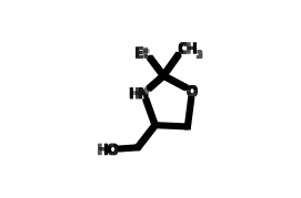 CCC1(C)NC(CO)CO1